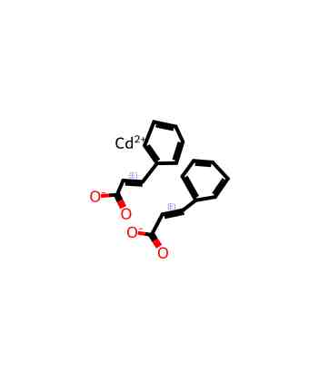 O=C([O-])/C=C/c1ccccc1.O=C([O-])/C=C/c1ccccc1.[Cd+2]